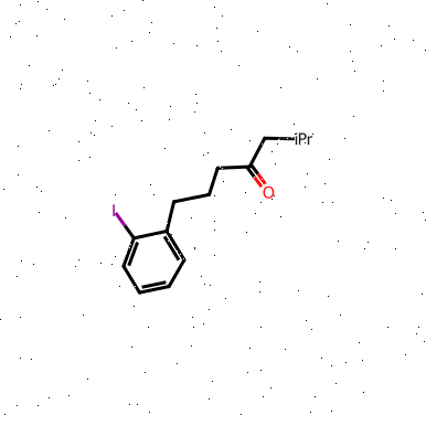 CC(C)CC(=O)CCCc1ccccc1I